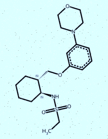 CCS(=O)(=O)N[C@H]1CCCC[C@@H]1COc1cccc(N2CCOCC2)c1